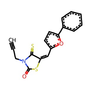 C#CCN1C(=O)SC(=Cc2ccc(-c3ccccc3)o2)C1=S